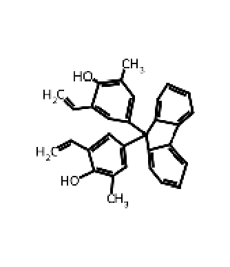 C=Cc1cc(C2(c3cc(C)c(O)c(C=C)c3)c3ccccc3-c3ccccc32)cc(C)c1O